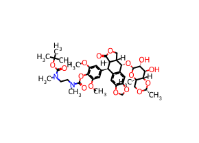 COc1cc([C@@H]2c3cc4c(cc3[C@@H](O[C@@H]3O[C@]5(C)CO[C@@H](C)O[C@H]5[C@H](O)[C@H]3O)[C@H]3COC(=O)[C@H]23)OCO4)cc(OC)c1OC(=O)N(C)CCN(C)C(=O)OC(C)(C)C